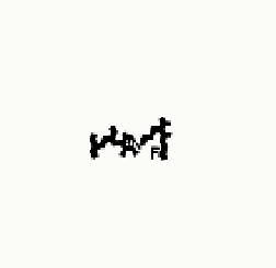 CCC(CC)CCC(CC)CC(C(C)C)C(C)C(C)NCCCCC(C(C)C)C(C)CCC(C)F